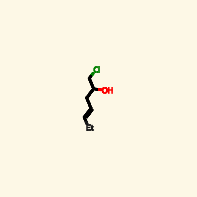 CCC=CCC(O)CCl